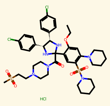 CCOc1cc(N2CCCCC2)c(S(=O)(=O)N2CCCCC2)cc1C1(C(=O)N2CCN(CCS(C)(=O)=O)CC2)N[C@H](c2ccc(Cl)cc2)[C@H](c2ccc(Cl)cc2)N1.Cl